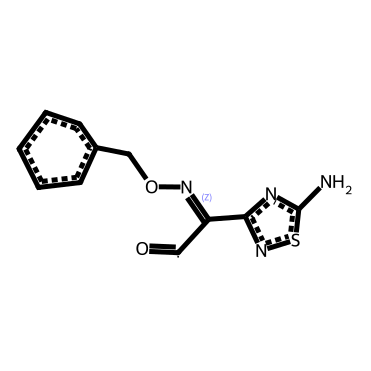 Nc1nc(/C([C]=O)=N/OCc2ccccc2)ns1